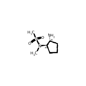 CN([C@@H]1CCC[C@H]1N)S(C)(=O)=O